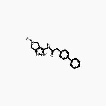 CC(=O)N1Cc2n[nH]c(NC(=O)Cc3ccc(-c4ccccc4)cc3)c2C1